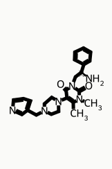 Cc1c(N2CCN(Cc3cccnc3)CC2)c(=O)n(C[C@H](N)c2ccccc2)c(=O)n1C